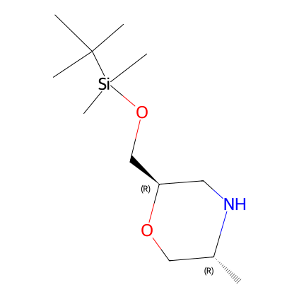 C[C@@H]1CO[C@@H](CO[Si](C)(C)C(C)(C)C)CN1